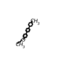 CCCCOc1ccc(-c2ccc(C3CCC(C)CC3)cc2)cc1